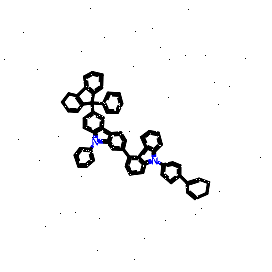 C1=CC(c2ccc(-n3c4ccccc4c4c(-c5ccc6c7cc(C8(c9ccccc9)C9=C(CCC=C9)c9ccccc98)ccc7n(-c7ccccc7)c6c5)cccc43)cc2)=CCC1